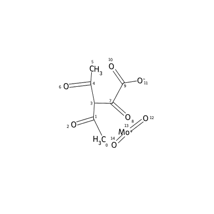 CC(=O)C(C(C)=O)C(=O)C(=O)[O-].[O]=[Mo+]=[O]